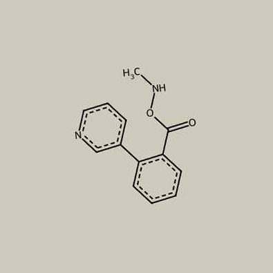 CNOC(=O)c1ccccc1-c1cccnc1